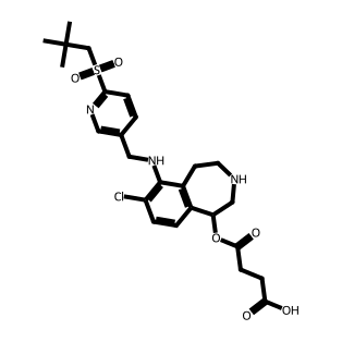 CC(C)(C)CS(=O)(=O)c1ccc(CNc2c(Cl)ccc3c2CCNCC3OC(=O)CCC(=O)O)cn1